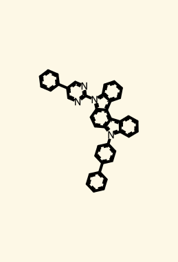 c1ccc(-c2ccc(-n3c4ccccc4c4c5c6ccccc6n(-c6ncc(-c7ccccc7)cn6)c5ccc43)cc2)cc1